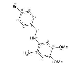 COc1cc(N)c(NCc2ccc(Br)cc2)cc1OC